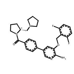 Nc1ncc(-c2ccc(C(=O)N3CCC[C@@H]3CN3CCCC3)cc2)cc1OCc1c(F)cccc1F